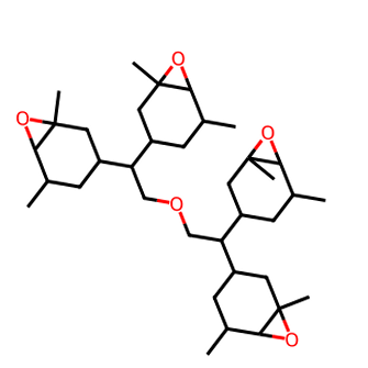 CC1CC(C(COCC(C2CC(C)C3OC3(C)C2)C2CC(C)C3OC3(C)C2)C2CC(C)C3OC3(C)C2)CC2(C)OC12